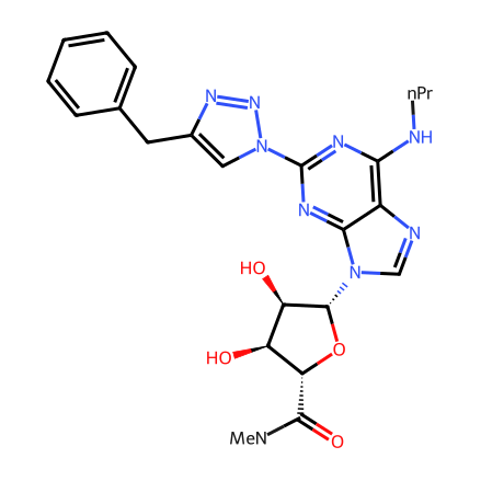 CCCNc1nc(-n2cc(Cc3ccccc3)nn2)nc2c1ncn2[C@@H]1O[C@H](C(=O)NC)[C@@H](O)[C@H]1O